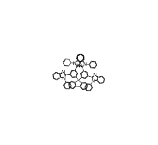 C1=CCC(n2c(-c3cc(-c4nc5ccccc5n4-c4ccccc4)cc(C4(c5cc(-c6nc7ccccc7n6-c6ccccc6)cc(-c6nc7ccccc7n6-c6ccccc6)c5)c5ccccc5-c5ccccc54)c3)nc3ccccc32)C=C1